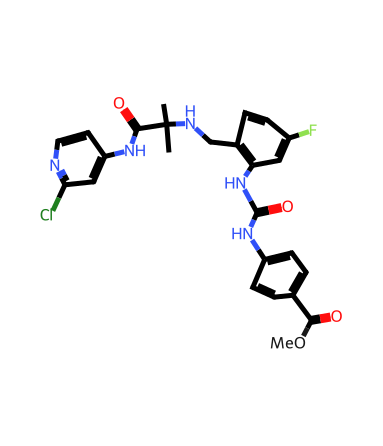 COC(=O)c1ccc(NC(=O)Nc2cc(F)ccc2CNC(C)(C)C(=O)Nc2ccnc(Cl)c2)cc1